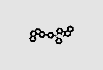 c1ccc(N(c2ccc(-c3ccc4c(ccc5ccc6ccccc6c54)c3)cc2)c2cccc3c2oc2ccc4ccccc4c23)cc1